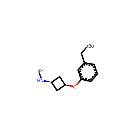 CC(C)N[C@H]1C[C@@H](Oc2cccc(CC(C)(C)C)c2)C1